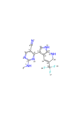 CNc1ncc(C#N)c(-c2c[nH]c3c2C=C(C(F)(F)F)CN3)n1